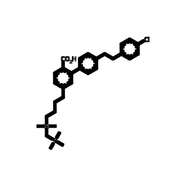 C[Si](C)(C)C[Si](C)(C)CCCCc1ccc(C(=O)O)c(-c2ccc(CCc3ccc(Cl)cc3)cc2)c1